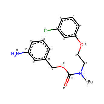 CC(C)(C)N(CCOc1cccc(Cl)c1)C(=O)OCc1cccc(N)c1